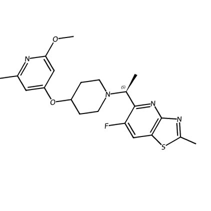 COc1cc(OC2CCN([C@@H](C)c3nc4nc(C)sc4cc3F)CC2)cc(C)n1